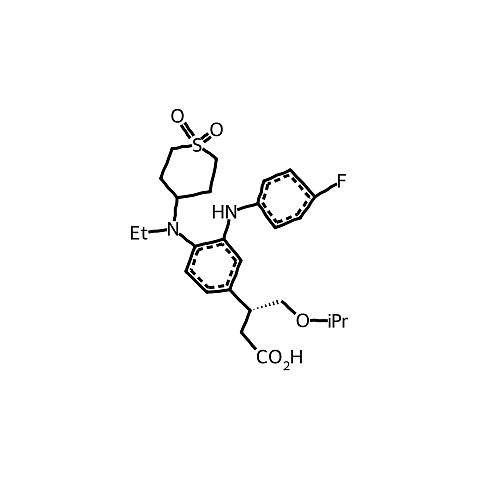 CCN(c1ccc([C@H](COC(C)C)CC(=O)O)cc1Nc1ccc(F)cc1)C1CCS(=O)(=O)CC1